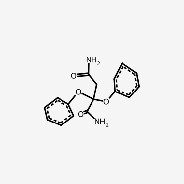 NC(=O)CC(Oc1ccccc1)(Oc1ccccc1)C(N)=O